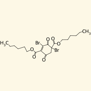 CCCCCCOC(=O)C1=C(Br)C(=O)C(Br)(C(=O)OCCCCCC)CC1=O